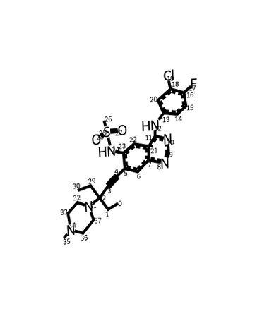 CCC(C#Cc1cc2ncnc(Nc3ccc(F)c(Cl)c3)c2cc1NS(C)(=O)=O)(CC)N1CCN(C)CC1